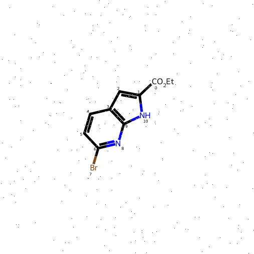 CCOC(=O)c1cc2ccc(Br)nc2[nH]1